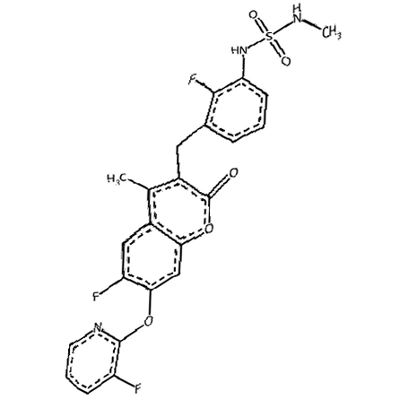 CNS(=O)(=O)Nc1cccc(Cc2c(C)c3cc(F)c(Oc4ncccc4F)cc3oc2=O)c1F